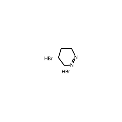 Br.Br.C1CCN=NC1